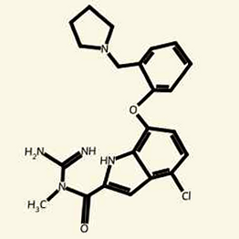 CN(C(=N)N)C(=O)c1cc2c(Cl)ccc(Oc3ccccc3CN3CCCC3)c2[nH]1